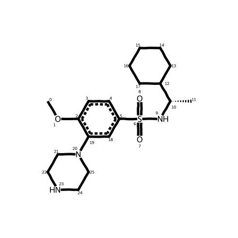 COc1ccc(S(=O)(=O)N[C@@H](C)C2CCCCC2)cc1N1CCNCC1